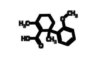 COc1ccccc1C1(C)CCCC(C)=C1C(=O)O